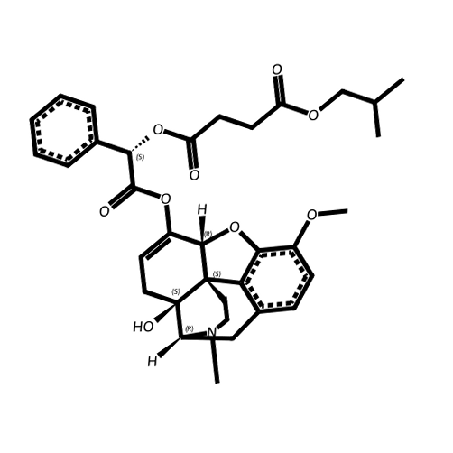 COc1ccc2c3c1O[C@H]1C(OC(=O)[C@@H](OC(=O)CCC(=O)OCC(C)C)c4ccccc4)=CC[C@@]4(O)[C@@H](C2)N(C)CC[C@]314